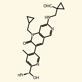 CCC[C@H](O)c1cc(C)c(-c2cc3cnc(NCC4(C=O)CC4)cc3n(CC3CC3)c2=O)cn1